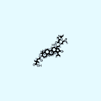 Cc1nnc(C(=O)N(CCN(C)C)CC(O)C23CC[C@]4(C)[C@H](CC[C@@H]5[C@@]6(C)CC[C@H](OC(=O)CC(C)(C)C(=O)O)C(C)(C)[C@@H]6CC[C@]54C)C2=C(C(C)C)C(=O)C3)o1